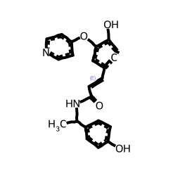 CC(NC(=O)/C=C/c1ccc(O)c(Oc2ccncc2)c1)c1ccc(O)cc1